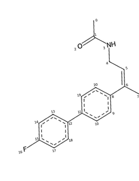 CC(=O)NC/C=C(/C)c1ccc(-c2ccc(F)cc2)cc1